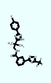 CC(C)(CNC(=O)c1cccc(-c2noc(C(F)(F)F)n2)c1)c1nc(-c2ccc(F)cc2)n[nH]1